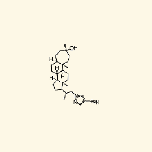 C[C@H](Cn1cc(C#N)cn1)[C@H]1CC[C@H]2[C@@H]3CC[C@H]4CC[C@](C)(O)CC[C@]4(C)[C@H]3CC[C@]12C